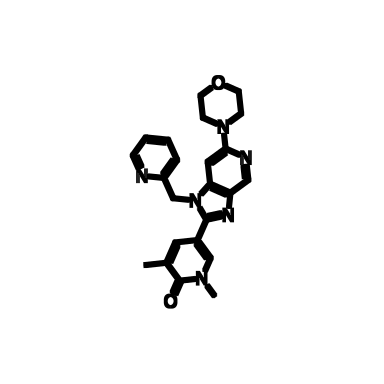 Cc1cc(-c2nc3cnc(N4CCOCC4)cc3n2Cc2ccccn2)cn(C)c1=O